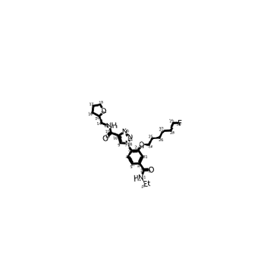 CCNC(=O)c1ccc(-n2cc(C(=O)NCC3CCCO3)nn2)c(OCCCCCCF)c1